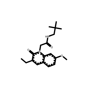 CCc1cc2ccc(OC)cc2n(CC(=O)NCC(C)(C)C)c1=O